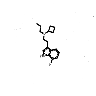 CCCN(CCc1c[nH]c2c(F)cccc12)C1CCC1